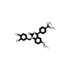 COc1ccc2c(c1)c(-c1ccc(C(C)C)cc1)nc(=O)n2Cc1ccc(Cl)c(Cl)c1